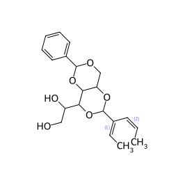 C/C=C\C(=C/C)C1OC2COC(c3ccccc3)OC2C(C(O)CO)O1